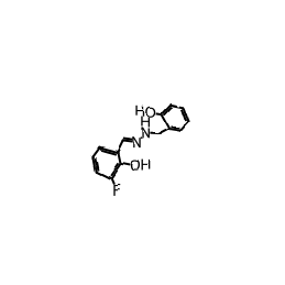 Oc1ccccc1CNN=Cc1cccc(F)c1O